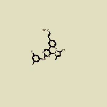 CCOC(=O)/C=C/c1cccc(-c2cnc(Nc3cc(F)cc(F)c3)nc2N2NC(C(F)(F)F)C=C2C)c1